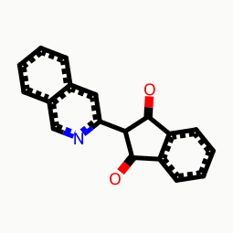 O=C1c2ccccc2C(=O)C1c1cc2ccccc2cn1